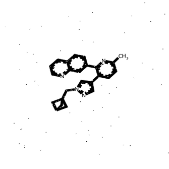 Cc1ccc(-c2cnn(CC34CC(C3)C4)c2)c(-c2ccc3cccnc3c2)n1